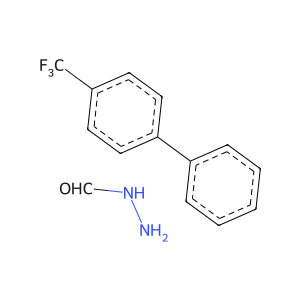 FC(F)(F)c1ccc(-c2ccccc2)cc1.NNC=O